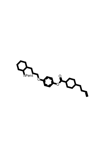 C=CCCC1CCC(C(=O)Oc2ccc(OCCCC3CCCCC3CCCCC)cc2)CC1